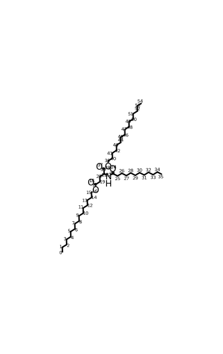 CCCCCCCCCCCCCCCCOC(=O)CCC(NC(=O)CCCCCCCCCCC)C(=O)OCCCCCCCCCCCCCCCC